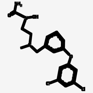 CN(CCN(O)C(N)=O)Cc1cccc(Oc2cc(Cl)cc(Cl)c2)c1